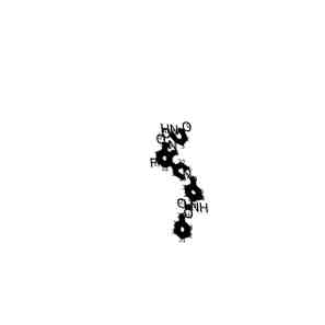 O=C1CCC(N2Cc3c(cc(F)cc3C3CCN(Cc4ccc(NC(=O)OCc5ccccc5)cc4)CC3)C2=O)C(=O)N1